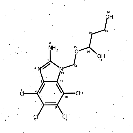 Nc1nc2c(Cl)c(Cl)c(Cl)c(Cl)c2n1COC(O)CCO